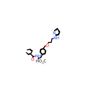 C/C=C\C(=C/C)C(=O)NC(Cc1ccc(COCCCNc2ccccn2)cc1)C(=O)O